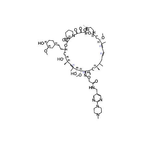 CO[C@H]1C[C@@H]2CC[C@@H](C)[C@@](O)(O2)C(=O)C(=O)N2CCCC[C@H]2C(=O)O[C@H](CC[C@@H]2CC[C@@H](O)[C@H](OC)C2)C[C@@H](O)[C@H](C)/C=C(\C)[C@@H](O)[C@@H](OC)/C(=N/OCC(=O)NCc2cnc(N3CCN(C)CC3)nc2)[C@H](C)C[C@H](C)C(C)C/C=C/C=C/1C